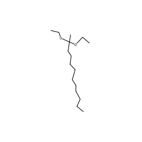 CCCCCCCCCCC(C)(OCC)OCC